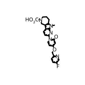 Cn1c2c(c3ccc(-n4ccc(OCc5ccc(F)cn5)cc4=O)nc31)CN(C(=O)O)CCC2